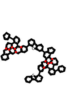 c1ccc(-c2ccccc2-c2c(-c3ccccc3)cccc2N(c2cccc(-c3cccc4c3oc3cc(-c5cc6cc(N(c7cccc(-c8cccc9c8sc8ccccc89)c7)c7cccc(-c8ccccc8)c7-c7ccccc7-c7ccccc7)ccc6c6ccccc56)ccc34)c2)c2ccc3c(ccc4ccccc43)c2)cc1